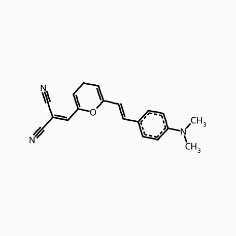 CN(C)c1ccc(C=CC2=CCC=C(C=C(C#N)C#N)O2)cc1